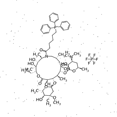 CC[C@H]1OC(=O)[C@H](C)[C@@H](O[C@H]2C[C@@](C)(OC)[C@@H](O)[C@H](C)O2)[C@H](C)[C@@H](O[C@@H]2O[C@H](C)C[C@H](N(C)C)[C@H]2O)[C@](C)(O)C[C@@H](C)CN(C(=O)CCCCC[P+](c2ccccc2)(c2ccccc2)c2ccccc2)[C@H](C)[C@@H](O)[C@]1(C)O.F[P-](F)(F)(F)(F)F